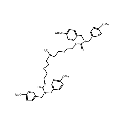 COc1ccc(CN(Cc2ccc(OC)cc2)C(=O)OCCOCCN(C)CCOCCOC(=O)N(Cc2ccc(OC)cc2)Cc2ccc(OC)cc2)cc1